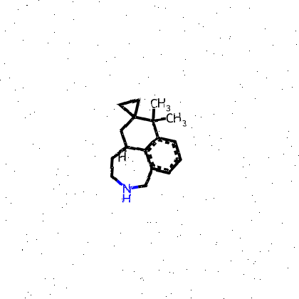 CC1(C)c2cccc3c2[C@@H](CCNC3)CC12CC2